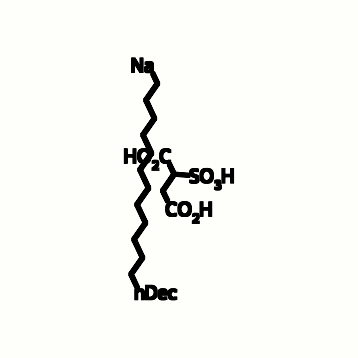 CCCCCCCCCCCCCCCCCCCCC[CH2][Na].O=C(O)CC(C(=O)O)S(=O)(=O)O